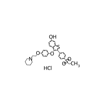 CCS(=O)(=O)c1ccc(-c2sc3cc(O)ccc3c2Oc2ccc(OCCN3CCCCC3)cc2)cc1.Cl